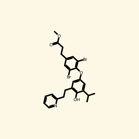 COC(=O)CCc1cc(Br)c(Oc2cc(CCc3ccccn3)c(O)c(C(C)C)c2)c(Br)c1